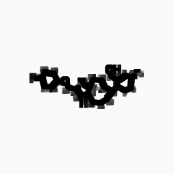 OCC1=CC(F)=CCC1C1=C/CC[C@H]2C=C(COc3ccc(F)cc3)N=C2C\C=C\1